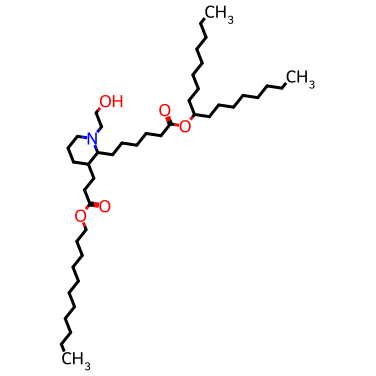 CCCCCCCCCCCOC(=O)CCC1CCCN(CCO)C1CCCCCC(=O)OC(CCCCCCCC)CCCCCCCC